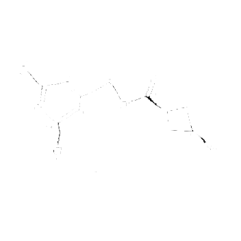 Cl.N[C@H]1C[C@@H](C(=O)OCc2cc(Cl)nc(Cl)c2)C1